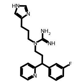 N=C(N)N(CCCc1c[nH]cn1)CCC(c1cccc(F)c1)c1ccccn1